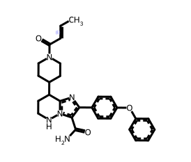 C/C=C/C(=O)N1CCC(C2CCNn3c2nc(-c2ccc(Oc4ccccc4)cc2)c3C(N)=O)CC1